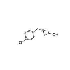 OC1CN(Cc2ccc(Cl)cc2)C1